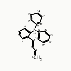 C=CC=Cc1ccccc1N(c1ccccc1)c1ccccc1